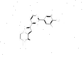 Nc1c(F)cc(-c2nccc(-c3cc4n(n3)CCNC4=O)n2)cc1F